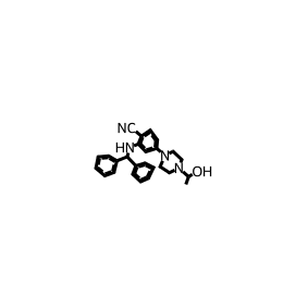 CC(O)N1CCN(c2ccc(C#N)c(NC(c3ccccc3)c3ccccc3)c2)CC1